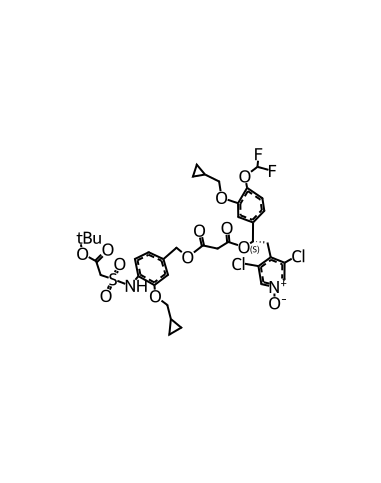 CC(C)(C)OC(=O)CS(=O)(=O)Nc1ccc(COC(=O)CC(=O)O[C@@H](Cc2c(Cl)c[n+]([O-])cc2Cl)c2ccc(OC(F)F)c(OCC3CC3)c2)cc1OCC1CC1